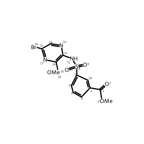 COC(=O)c1cccc(S(=O)(=O)Nc2ncc(Br)nc2OC)c1